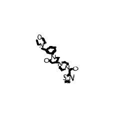 O=C(c1nccs1)N1CCN(C2CC(=O)N(c3cccc(CN4CCOCC4)c3)C2)CC1